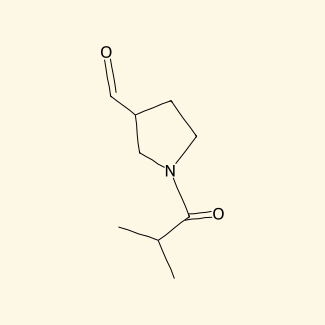 CC(C)C(=O)N1CCC(C=O)C1